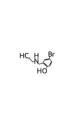 C#CCNCc1cc(Br)ccc1O